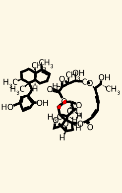 CC1=CCC[C@H]2[C@](C)(Cc3cc(O)ccc3O)[C@@H](C)CC[C@]12C.C[C@@H](O)[C@H]1/C=C/C=C\C(=O)O[C@@H]2C[C@H]3O[C@@H]4[C@@H]5O[C@]5(C)CC[C@]4(COC(=O)[C@H]4O[C@]4(C)[C@@H](O)CO1)[C@]2(C)C31CO1